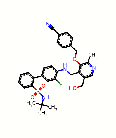 Cc1ncc(CO)c(CNc2ccc(-c3ccccc3S(=O)(=O)NC(C)(C)C)cc2F)c1OCc1ccc(C#N)cc1